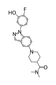 CN(C)C(=O)C1CCN(c2ccc3c(cnn3-c3ccc(F)c(O)c3)c2)CC1